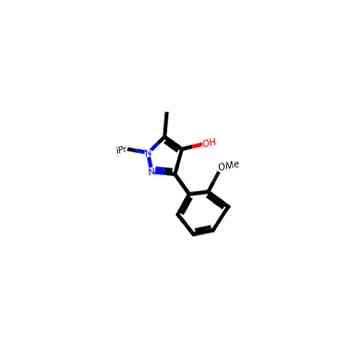 COc1ccccc1-c1nn(C(C)C)c(C)c1O